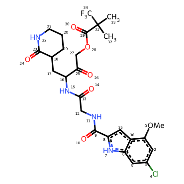 COc1cc(Cl)cc2[nH]c(C(=O)NCC(=O)NC(CC3CCCNC3=O)C(=O)COC(=O)C(C)(C)C(F)(F)F)cc12